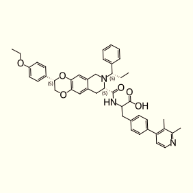 CCOc1ccc([C@H]2COc3cc4c(cc3O2)CN([C@@H](CC)c2ccccc2)[C@H](C(=O)NC(Cc2ccc(-c3ccnc(C)c3C)cc2)C(=O)O)C4)cc1